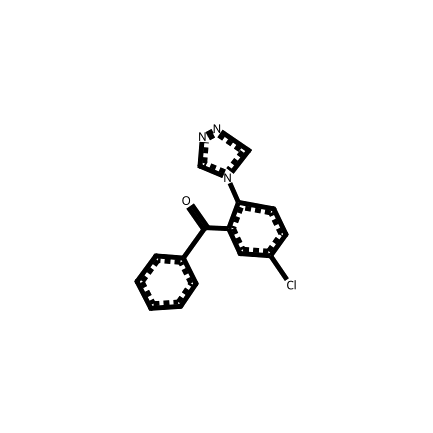 O=C(c1ccccc1)c1cc(Cl)ccc1-n1cnnc1